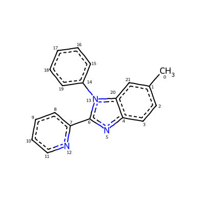 Cc1ccc2nc(-c3ccccn3)n(-c3ccccc3)c2c1